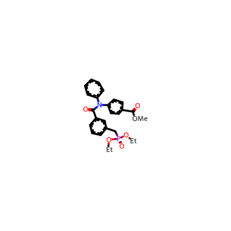 CCOP(=O)(Cc1cccc(C(=O)N(c2ccccc2)c2ccc(C(=O)OC)cc2)c1)OCC